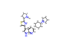 CN1CCCC1c1nc(-c2c[nH]c3ncc([C@H]4CC[C@H](N5CCCC5)CC4)cc23)cs1